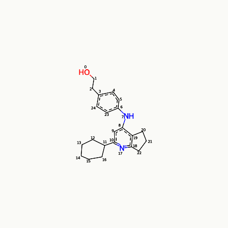 OCCc1ccc(Nc2cc(C3CCCCC3)nc3c2CCC3)cc1